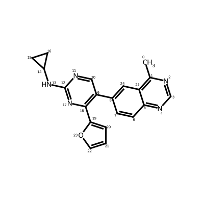 Cc1ncnc2ccc(-c3cnc(NC4CC4)nc3-c3ccco3)cc12